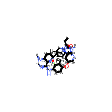 C=CC(=O)N1C[C@H]2CC[C@@H]1C[C@H]2c1ccc(N=C)c(/C(=N\C)Nc2ccc(Oc3cnc4c(c3)ncn4C)c(C)c2F)n1